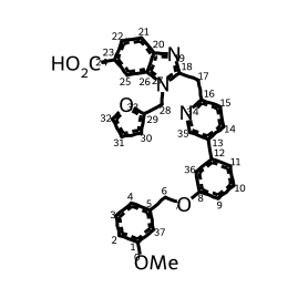 COc1cccc(COc2cccc(-c3ccc(Cc4nc5ccc(C(=O)O)cc5n4Cc4ccco4)nc3)c2)c1